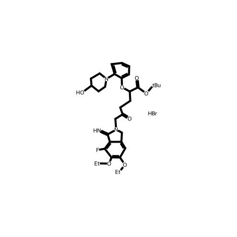 Br.CCOc1cc2c(c(F)c1OCC)C(=N)N(CC(=O)CCC(Oc1ccccc1N1CCC(O)CC1)C(=O)OC(C)(C)C)C2